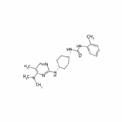 Cc1ccccc1NC(=O)N[C@H]1CC[C@@H](Nc2ncc(C)c(N(C)C)n2)CC1